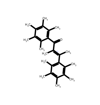 C/C(C(=O)c1c(C)c(C)c(C)c(C)c1C)=C(/C)c1c(C)c(C)c(C)c(C)c1C